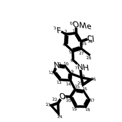 COc1c(F)cc(CNC2(c3cnccc3-c3ccccc3OC3CC3)CC2)c(C)c1Cl